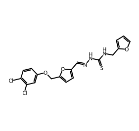 S=C(NCc1ccco1)NN=Cc1ccc(COc2ccc(Cl)c(Cl)c2)o1